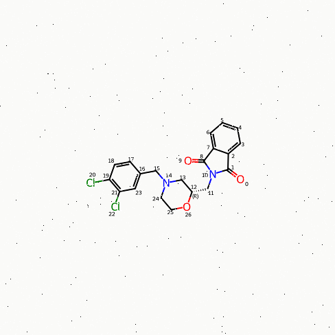 O=C1c2ccccc2C(=O)N1C[C@H]1CN(Cc2ccc(Cl)c(Cl)c2)CCO1